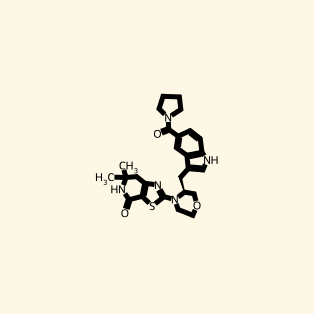 CC1(C)Cc2nc(N3CCOC[C@@H]3Cc3c[nH]c4ccc(C(=O)N5CCCC5)cc34)sc2C(=O)N1